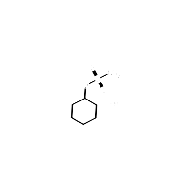 NS(=O)(=O)OC1CCCCC1.[KH]